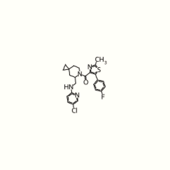 Cc1nc(C(=O)N2CCC3(CC3)CC2CNc2ccc(Cl)cn2)c(-c2ccc(F)cc2)s1